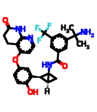 CC(C)(N)c1cc(C(=O)N[C@@]23C[C@H]2[C@H]3c2cc(Oc3ccnc4c3CCC(=O)N4)ccc2O)cc(C(F)(F)F)c1